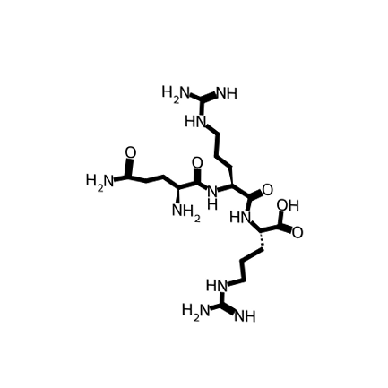 N=C(N)NCCC[C@H](NC(=O)[C@H](CCCNC(=N)N)NC(=O)[C@@H](N)CCC(N)=O)C(=O)O